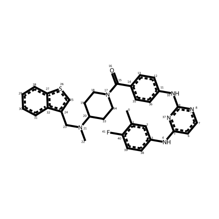 Cc1cc(Nc2ccnc(Nc3ccc(C(=O)N4CCC(N(C)Cc5csc6ccccc56)CC4)cc3)n2)ccc1F